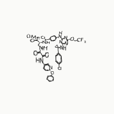 COC(=O)[C@H](CNC(=O)C(=O)Nc1ccc(Oc2ccccc2)nc1)NC(=O)c1ccc(Nc2nc(NC3(c4ccc(Cl)cc4)CC3)nc(OCC(F)(F)F)n2)cc1